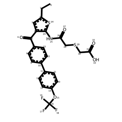 CCc1cc(C(=O)c2ccc(-c3ccc(OC(F)(F)F)cc3)cc2)c(NC(=O)CSCC(=O)O)s1